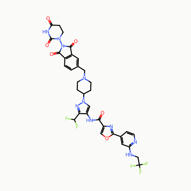 O=C1CCN(N2C(=O)c3ccc(CN4CCC(n5cc(NC(=O)c6coc(-c7ccnc(NCC(F)(F)F)c7)n6)c(C(F)F)n5)CC4)cc3C2=O)C(=O)N1